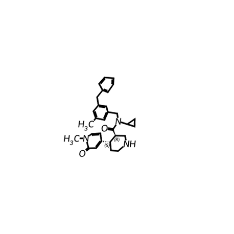 Cc1cc(Cc2ccccc2)cc(CN(C(=O)[C@H]2CNCC[C@@H]2c2ccn(C)c(=O)c2)C2CC2)c1